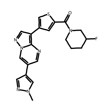 Cn1cc(-c2cnc3c(-c4csc(C(=O)N5CCCC(F)C5)c4)cnn3c2)cn1